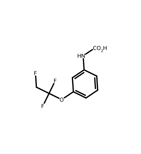 O=C(O)Nc1cccc(OC(F)(F)CF)c1